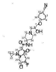 N#Cc1ccc(OCC(O)CN2CCC(NC(=O)c3cn(C4CC4)c4cc(Cl)c(F)cc4c3=O)CC2)cc1